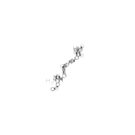 Nc1ncnc2c1c(-c1ccc(Oc3ccccc3)cc1)nn2C1CCCN(C2CN(C(=O)N3CCC(N4CCN(c5ccc6c(c5)C(=O)N(C5CCC(=O)NC5=O)C6=O)CC4)CC3)C2)C1